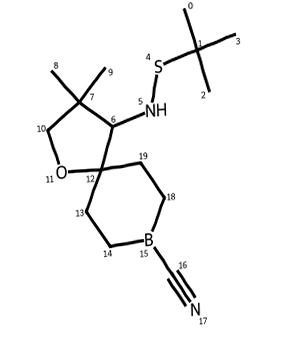 CC(C)(C)SNC1C(C)(C)COC12CCB(C#N)CC2